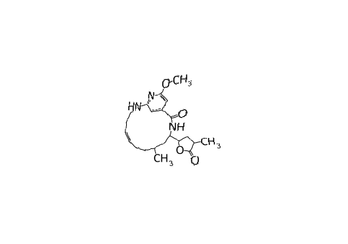 COc1cc2cc(n1)NCCC=CCCC(C)CC(C1CC(C)C(=O)O1)NC2=O